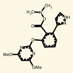 COc1cc(OC)nc(Oc2cccc(-c3cc[nH]n3)c2C(=O)ON(C)C)n1